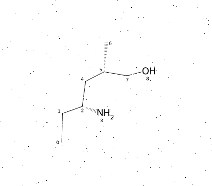 CC[C@@H](N)C[C@H](C)CO